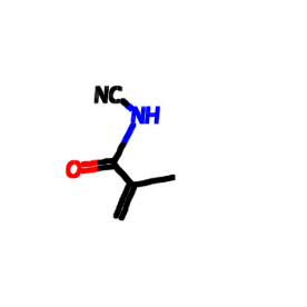 C=C(C)C(=O)NC#N